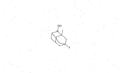 CC12CC3CC(CC(F)(C3)C1)N2O